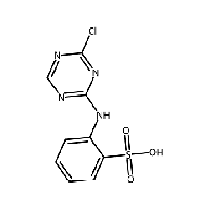 O=S(=O)(O)c1ccccc1Nc1ncnc(Cl)n1